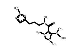 CN(C=O)C1=C(C(=O)N(C)CCCc2cnn(C)n2)N(C)CN1C